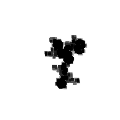 CC(COc1ccc2c(c1)C1(CCC(Nc3cccc(Cl)c3)(C(=O)O)CC1)[C@@H](C[C@@H](C)COc1ccnc3c1[C@H](C)CCC3)C2)CC(=O)N[C@H](Cc1ccccc1)C(=O)O